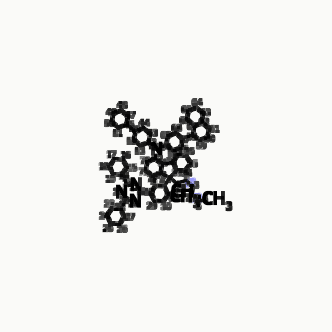 C=C(/C=C\C=C/C)C1(c2cc(-c3nc(-c4ccccc4)nc(-c4ccccc4)n3)ccc2C)c2ccccc2-c2c(N(c3ccc(-c4ccccc4)cc3)c3ccc(-c4cccc5ccccc45)cc3)cccc21